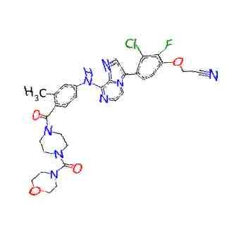 Cc1cc(Nc2nccn3c(-c4ccc(OCC#N)c(F)c4Cl)cnc23)ccc1C(=O)N1CCN(C(=O)N2CCOCC2)CC1